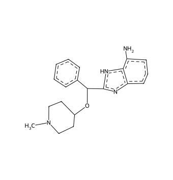 CN1CCC(OC(c2ccccc2)c2nc3cccc(N)c3[nH]2)CC1